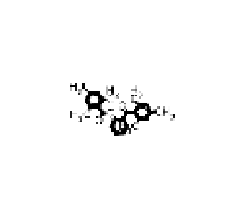 Cc1cc(C)c(C(=O)Oc2ccccc2C(=O)c2c(C)cc(C)cc2C)c(C)c1